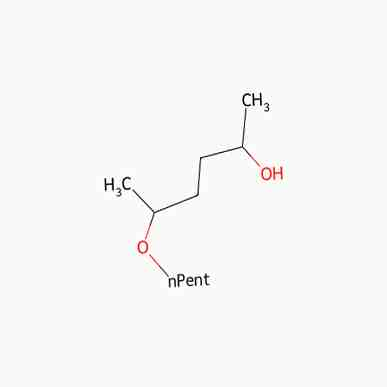 CCCCCOC(C)CCC(C)O